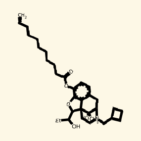 C=CCCCCCCCCC(=O)Oc1ccc2c3c1OC(C(O)CC)C31CCN(CC3CCC3)C(C2)C1(C)O